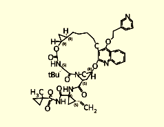 C=C[C@@H]1C[C@]1(NC(=O)[C@@H]1C[C@@H]2CN1C(=O)[C@H](C(C)(C)C)NC(=O)O[C@@H]1C[C@H]1CCCCCc1c(nc3ccccc3c1OCCc1cccnc1)O2)C(=O)NS(=O)(=O)C1(C)CC1